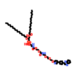 CCCCCCCCCCCCCCCCCC(=O)OCC(COP(=O)(O)OCCNC(=O)OCCOCC(=O)NCCOCCOCCOc1ccc(-c2ccc(-c3cnc4ccccc4n3)cc2)cn1)OC(=O)CCCCCCCCCCCCCCCCC